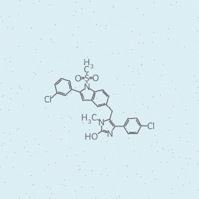 Cn1c(O)nc(-c2ccc(Cl)cc2)c1Cc1ccc2c(c1)cc(-c1cccc(Cl)c1)n2S(C)(=O)=O